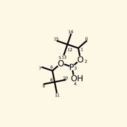 CC(OP(O)OC(C)C(C)(C)C)C(C)(C)C